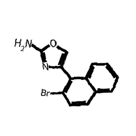 Nc1nc(-c2c(Br)ccc3ccccc23)co1